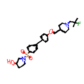 CC(C)(F)CN1CCC(COc2ccc(-c3ccc(S(=O)(=O)N4CCC(O)C4)cc3)cc2)CC1